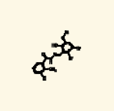 CCOc1cc(Br)c(Br)c(/C=N/NC(=O)c2cccc(Cl)c2C)c1O